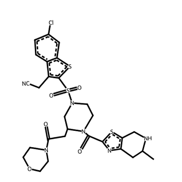 CC1Cc2nc(C(=O)N3CCN(S(=O)(=O)c4sc5cc(Cl)ccc5c4CC#N)CC3CC(=O)N3CCOCC3)sc2CN1